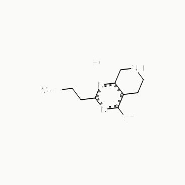 COCCc1nc2c(c(C(F)(F)F)n1)CCNC2.Cl